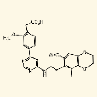 COc1cc2c(c(C)c1CCNc1cc(-c3ccc(CC(=O)O)c(OC(F)(F)F)c3)ncn1)OCCO2